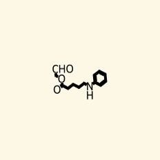 O=CCOC(=O)CCCCNc1ccccc1